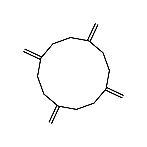 C=C1CCC(=C)CCC(=C)CCC(=C)CC1